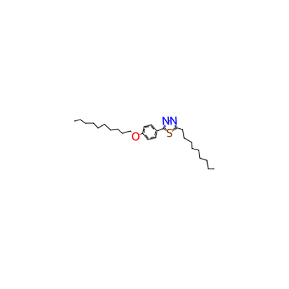 CCCCCCCCCCOc1ccc(-c2nnc(CCCCCCCCC)s2)cc1